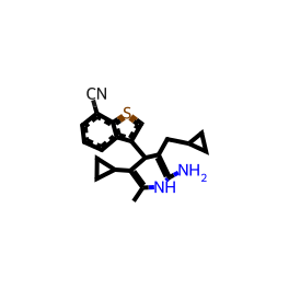 CC1=C(C2CC2)C(c2csc3c(C#N)cccc23)C(CC2CC2)=C(N)N1